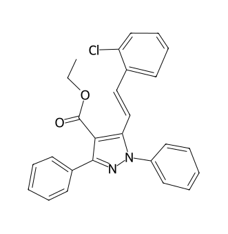 CCOC(=O)c1c(-c2ccccc2)nn(-c2ccccc2)c1/C=C/c1ccccc1Cl